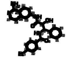 CCc1ccc(C(=O)NC(c2ccccc2)C(O)C(=O)Nc2ccc3c(N)nccc3c2)cc1